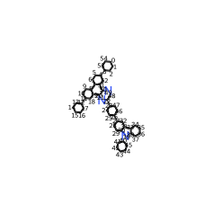 c1ccc(-c2ccc3c4ccc(-c5ccccc5)cc4c4nc(-c5ccc(-c6ccc7c(c6)c6ccccc6n7-c6ccccc6)cc5)cnc4c3c2)cc1